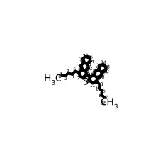 CCCCCCc1cc2sc3cc(CCCCCC)c4cc5ccccc5cc4c3c2c2cc3ccccc3cc12